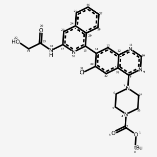 CC(C)(C)OC(=O)N1CCN(c2ncnc3cc(-c4nc(NC(=O)CO)cc5ccccc45)c(Cl)cc23)CC1